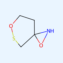 C1CC2(CSO1)NO2